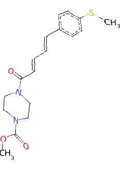 COC(=O)N1CCN(C(=O)/C=C/C=C/c2ccc(SC)cc2)CC1